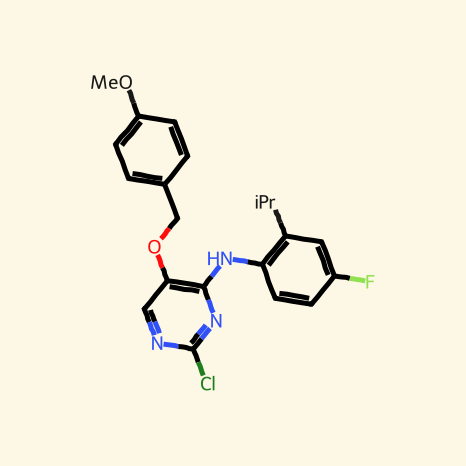 COc1ccc(COc2cnc(Cl)nc2Nc2ccc(F)cc2C(C)C)cc1